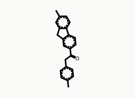 Cc1ccc(CC(=O)c2ccc3c(c2)Cc2cc(C)ccc2-3)cc1